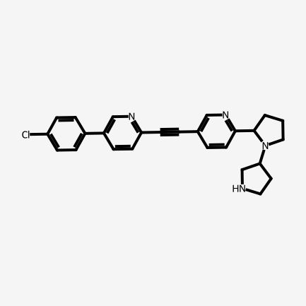 Clc1ccc(-c2ccc(C#Cc3ccc(C4CCCN4C4CCNC4)nc3)nc2)cc1